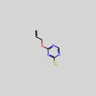 C=CCOc1ncnc(S)n1